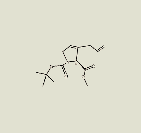 C=CCC1=CCN(C(=O)OC(C)(C)C)[C@@H]1C(=O)OC